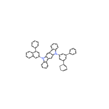 C1=CCCC(c2cc(-c3ccccc3)cc(-n3c4ccccc4c4cc5c(cc43)c3ccccc3n5-c3cc(-c4ccccc4)c4ccccc4c3)c2)=C1